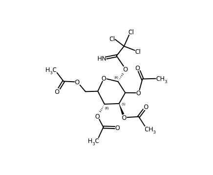 CC(=O)OCC1O[C@H](OC(=N)C(Cl)(Cl)Cl)C(OC(C)=O)[C@@H](OC(C)=O)[C@@H]1OC(C)=O